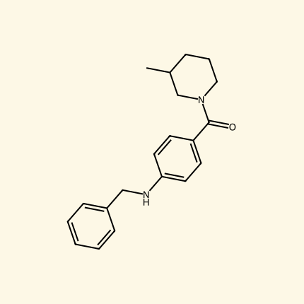 CC1CCCN(C(=O)c2ccc(NCc3ccccc3)cc2)C1